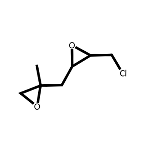 CC1(CC2OC2CCl)CO1